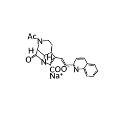 CC(=O)N1CCC2C(/C=C/c3ccc4ccccc4n3)=C(C(=O)[O-])N3C(=O)[C@@H]1[C@@H]23.[Na+]